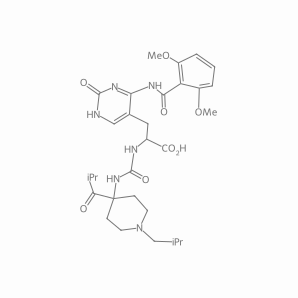 COc1cccc(OC)c1C(=O)Nc1nc(=O)[nH]cc1CC(NC(=O)NC1(C(=O)C(C)C)CCN(CC(C)C)CC1)C(=O)O